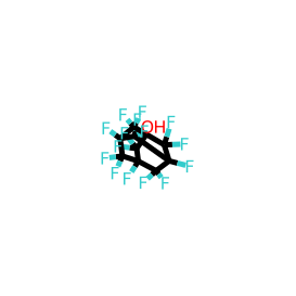 OC12C(F)(F)C3(F)C(F)(F)C(F)(C1(F)F)C(F)(F)C(F)(C2(F)F)C3(F)F